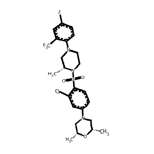 C[C@@H]1CN(c2ccc(S(=O)(=O)N3CCN(c4ccc(F)cc4C(F)(F)F)C[C@H]3C)c(Cl)c2)C[C@H](C)O1